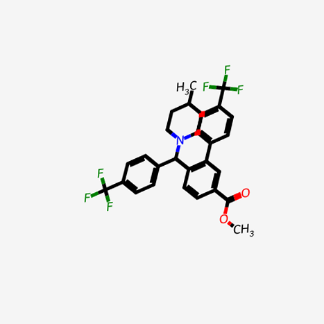 COC(=O)c1ccc(C(c2ccc(C(F)(F)F)cc2)N2CCC(C)CC2)c(-c2ccc(C(F)(F)F)cc2)c1